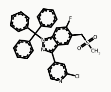 CS(=O)(=O)Cc1cc2c(-c3ccnc(Cl)c3)nn(C(c3ccccc3)(c3ccccc3)c3ccccc3)c2cc1F